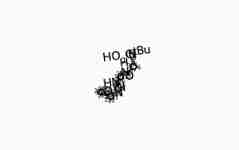 CC(C)(C)N(CCc1cccc(C(=O)Nc2ccc(Nc3cc(-c4cccc5c4oc4ccccc45)ncn3)cc2)c1)C(=O)O